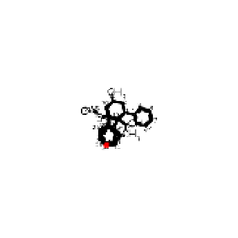 CC1CC(c2ccccc2)C(c2ccccc2)(C(C)C)C(SN=O)(c2ccccc2)C1